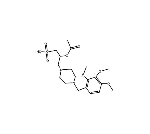 COc1ccc(CN2CCN(CC(CS(=O)(=O)O)OC(C)=O)CC2)c(OC)c1OC